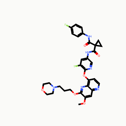 COc1cc2nccc(Oc3ncc(NC(=O)C4(C(=O)Nc5ccc(F)cc5)CC4)cc3F)c2nc1OCCCN1CCOCC1